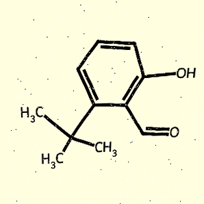 CC(C)(C)c1cccc(O)c1C=O